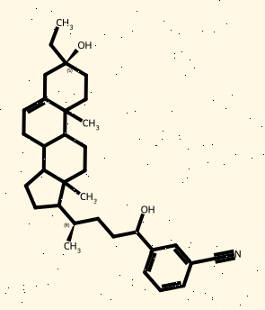 CC[C@]1(O)CCC2(C)C(=CCC3C2CCC2(C)C3CCC2[C@H](C)CCC(O)c2cccc(C#N)c2)C1